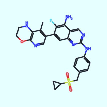 Cc1c(-c2cc3nc(Nc4ccc(CS(=O)(=O)C5CC5)cc4)ncc3c(N)c2F)cnc2c1NCCO2